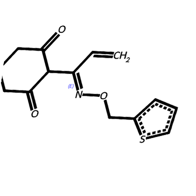 C=C/C(=N\OCc1cccs1)C1C(=O)CCCC1=O